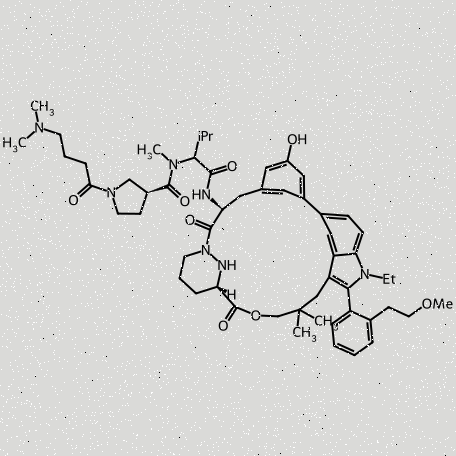 CCn1c(-c2ccccc2CCOC)c2c3cc(ccc31)-c1cc(O)cc(c1)C[C@H](NC(=O)C(C(C)C)N(C)C(=O)[C@H]1CCN(C(=O)CCCN(C)C)C1)C(=O)N1CCC[C@H](N1)C(=O)OCC(C)(C)C2